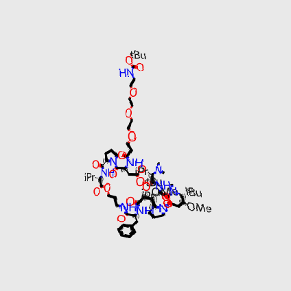 CC[C@H](C)[C@@H]([C@@H](CC(=O)N1CCC[C@H]1[C@H](OC)[C@@H](C)C(=O)N[C@@H](Cc1ccccc1)C(=O)NCCCOC(=O)[C@@H](NC(=O)[C@@H]1CCCN1C(=O)[C@H](CC(=O)OC(C)(C)C)NC(=O)CCOCCOCCOCCNC(=O)OC(C)(C)C)C(C)C)OC)N(C)C(=O)[C@@H](NC(=O)[C@H](C(C)C)N(C)C)C(C)C